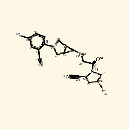 N#Cc1cc(F)ccc1N1CC2C(C1)C2NCC(=O)N1C[C@@H](F)C[C@H]1C#N